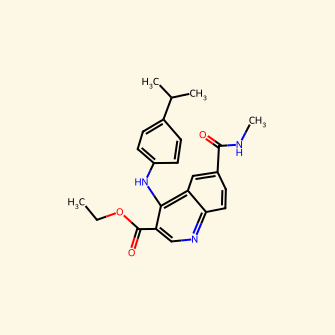 CCOC(=O)c1cnc2ccc(C(=O)NC)cc2c1Nc1ccc(C(C)C)cc1